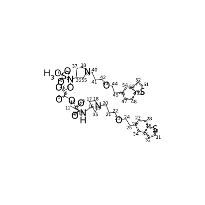 CS(=O)(=O)N(OC(=O)C(=O)OCS(=O)(=O)NC1CCN(CCCOCCc2ccc3sccc3c2)C1)C1CCN(CCCOCCc2ccc3sccc3c2)C1